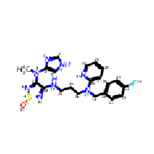 CN(c1c[nH]cn1)c1n[s+]([O-])nc1NCCCN(Cc1ccc(F)cc1)c1ccccn1